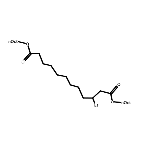 CCCCCCCCOC(=O)CCCCCCCCC(CC)CC(=O)OCCCCCCCC